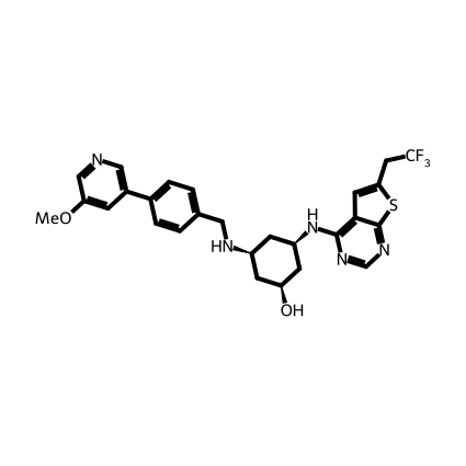 COc1cncc(-c2ccc(CN[C@@H]3C[C@H](O)C[C@H](Nc4ncnc5sc(CC(F)(F)F)cc45)C3)cc2)c1